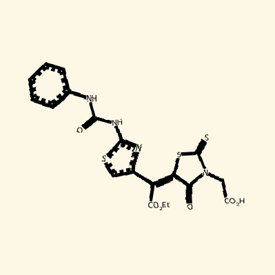 CCOC(=O)C(=C1SC(=S)N(CC(=O)O)C1=O)c1csc(NC(=O)Nc2ccccc2)n1